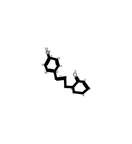 O=C1C=CCCC1C/C=C/c1ccc(Br)cc1